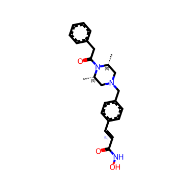 C[C@@H]1CN(Cc2ccc(/C=C/C(=O)NO)cc2)C[C@H](C)N1C(=O)Cc1ccccc1